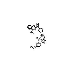 CN(C)c1nc(N[C@H]2CC[C@@H](CNCc3cnn(-c4ccc([N+](=O)[O-])cc4)c3C(F)(F)F)CC2)nc2ccccc12